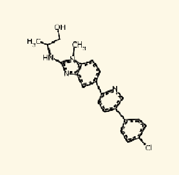 CC(CO)Nc1nc2cc(-c3ccc(-c4ccc(Cl)cc4)cn3)ccc2n1C